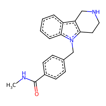 CNC(=O)c1ccc(Cn2c3c(c4ccccc42)CNCC3)cc1